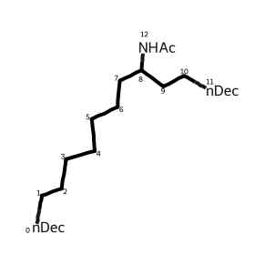 CCCCCCCCCCCCCCCCCC(CCCCCCCCCCCC)NC(C)=O